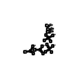 O=S(=O)([O-])[O-].O=S(=O)([O-])[O-].O=[Si]([O-])Cl.O=[Si]([O-])Cl.[Ca+2].[Ca+2].[Ca+2]